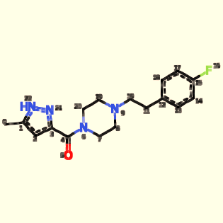 Cc1cc(C(=O)N2CCN(CCc3ccc(F)cc3)CC2)n[nH]1